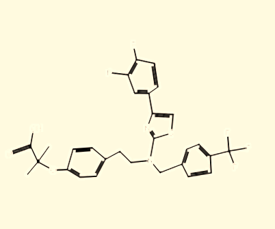 CC(C)(Oc1ccc(CCN(Cc2ccc(C(F)(F)F)cc2)c2nc(-c3ccc(F)c(F)c3)cs2)cc1)C(=O)O